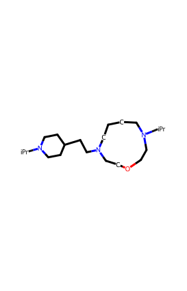 CC(C)N1CCCCN(CCC2CCN(C(C)C)CC2)CCOCC1